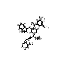 CC[C@@H]1COCCN1CC#CCN1CCN(C(=O)c2cc(C(F)(F)F)cc(C(F)(F)F)c2)[C@H](Cc2c[nH]c3ccccc23)C1.Cl.Cl